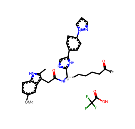 CCC(=O)CCCCC[C@H](NC(=O)Cc1c(C)[nH]c2ccc(OC)cc12)c1ncc(-c2ccc(-n3cccn3)cc2)[nH]1.O=C(O)C(F)(F)F